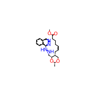 COC(=O)CCC/C=C\C[C@H]1CO[C@@H](C)O[C@H]1CNNc1nncc2ccccc12